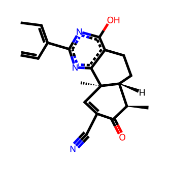 C=C/C(=C\C)c1nc(O)c2c(n1)[C@]1(C)C=C(C#N)C(=O)[C@H](C)[C@H]1CC2